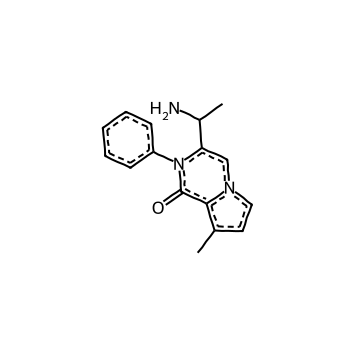 Cc1ccn2cc(C(C)N)n(-c3ccccc3)c(=O)c12